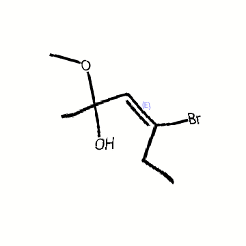 CC/C(Br)=C\C(C)(O)OC